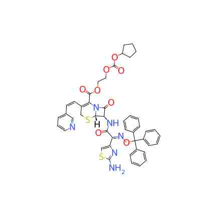 Nc1nc(C(=NOC(c2ccccc2)(c2ccccc2)c2ccccc2)C(=O)N[C@@H]2C(=O)N3C(C(=O)OCCOC(=O)OC4CCCC4)=C(/C=C\c4cccnc4)CS[C@@H]23)cs1